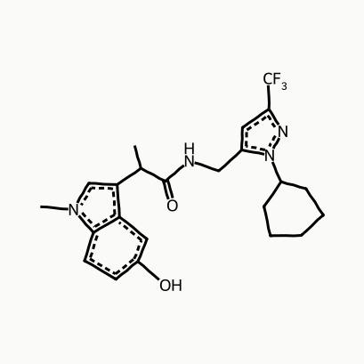 CC(C(=O)NCc1cc(C(F)(F)F)nn1C1CCCCC1)c1cn(C)c2ccc(O)cc12